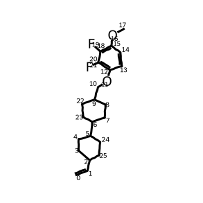 C=CC1CCC(C2CCC(COc3ccc(OC)c(F)c3F)CC2)CC1